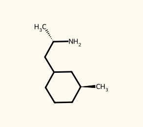 C[C@H]1CCCC(C[C@H](C)N)C1